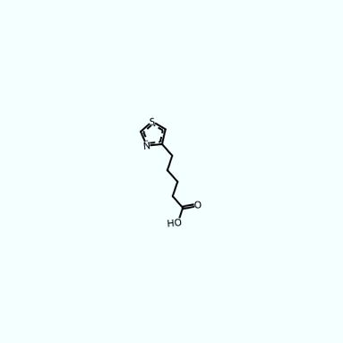 O=C(O)CCCCc1cscn1